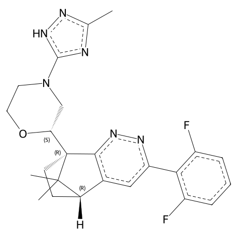 Cc1n[nH]c(N2CCO[C@@H]([C@@]34CC[C@@H](c5cc(-c6c(F)cccc6F)nnc53)C4(C)C)C2)n1